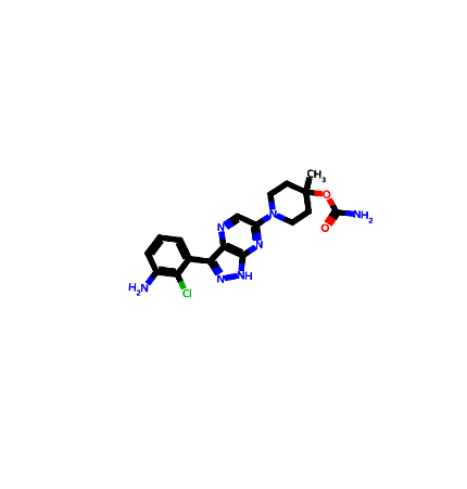 CC1(OC(N)=O)CCN(c2cnc3c(-c4cccc(N)c4Cl)n[nH]c3n2)CC1